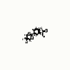 Cn1c(=O)sc2ccc(B3OCC(C)(C)CO3)cc21